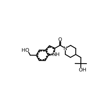 CC(C)(O)CC1CCN(C(=O)c2cc3cc(CO)ccc3[nH]2)CC1